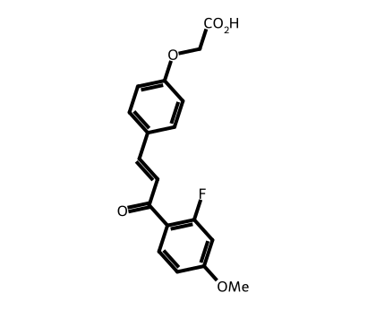 COc1ccc(C(=O)C=Cc2ccc(OCC(=O)O)cc2)c(F)c1